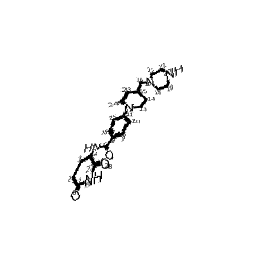 O=C1CCC(NC(=O)c2ccc(N3CCC(CN4CCNCC4)CC3)cc2)C(=O)N1